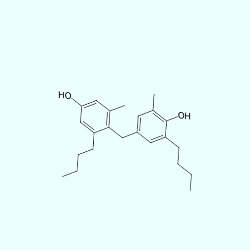 CCCCc1cc(Cc2c(C)cc(O)cc2CCCC)cc(C)c1O